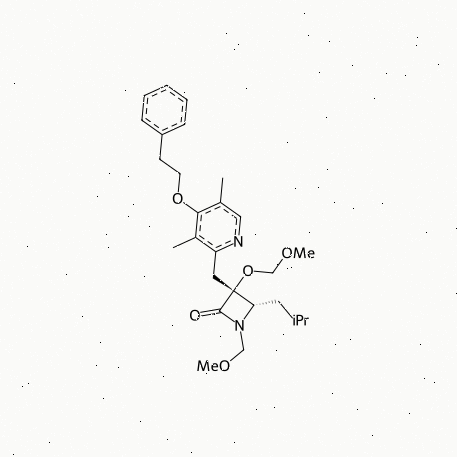 COCO[C@@]1(Cc2ncc(C)c(OCCc3ccccc3)c2C)C(=O)N(COC)[C@H]1CC(C)C